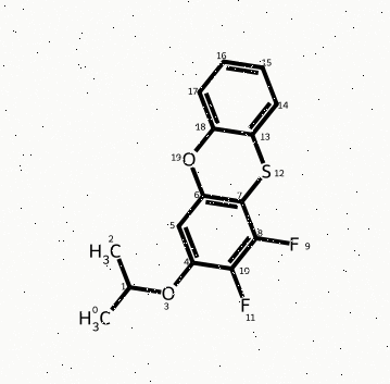 CC(C)Oc1cc2c(c(F)c1F)Sc1ccccc1O2